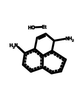 CCO.Nc1ccc2cccc3c2c1C=CC3N